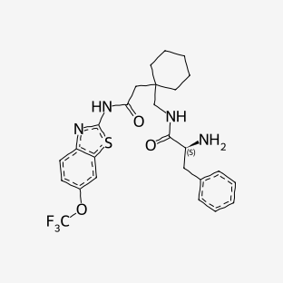 N[C@@H](Cc1ccccc1)C(=O)NCC1(CC(=O)Nc2nc3ccc(OC(F)(F)F)cc3s2)CCCCC1